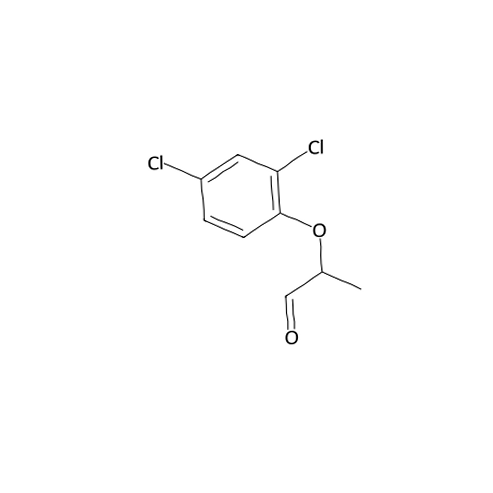 CC(C=O)Oc1ccc(Cl)cc1Cl